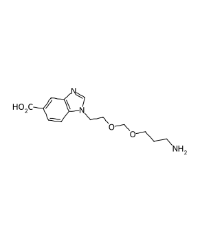 NCCCOCOCCn1cnc2cc(C(=O)O)ccc21